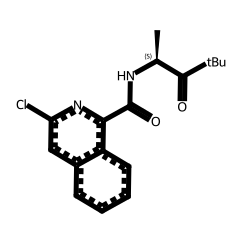 C[C@H](NC(=O)c1nc(Cl)cc2ccccc12)C(=O)C(C)(C)C